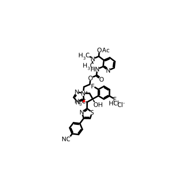 CC(=O)OC(c1cccnc1NC(=O)OCC[N+]1(C[C@](O)(c2cc(F)ccc2F)[C@@H](C)c2nc(-c3ccc(C#N)cc3)cs2)C=NC=N1)N(C)C.Cl.[Cl-]